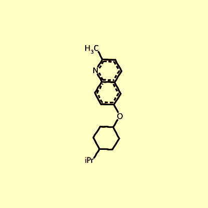 Cc1ccc2cc(OC3CCC(C(C)C)CC3)ccc2n1